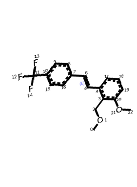 COCc1c(/C=C/c2ccc(C(F)(F)F)cc2)cccc1OC